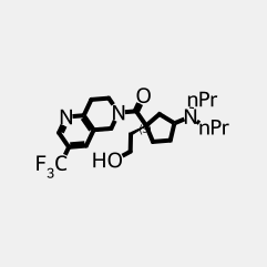 CCCN(CCC)C1CC[C@](CCO)(C(=O)N2CCc3ncc(C(F)(F)F)cc3C2)C1